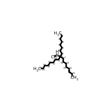 CCCCCCCCC(CCCCCCCC)(CCCCCCCC)NCl